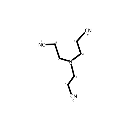 N#CCCN(CCC#N)CCC#N